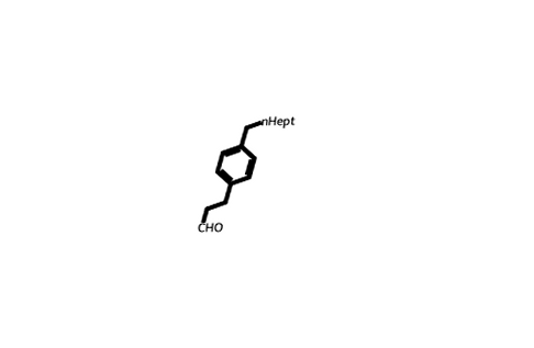 CCCCCCCCc1ccc(CCC=O)cc1